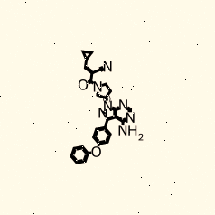 N#CC(=CC1CC1)C(=O)N1CC[C@H](n2nc(-c3ccc(Oc4ccccc4)cc3)c3c(N)ncnc32)C1